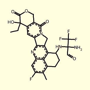 CCC1(O)C(=O)OCc2c1cc1n(c2=O)Cc2c-1nc1cc(F)c(C)c3c1c2C(NC(N)(C=O)C(F)(F)F)CC3